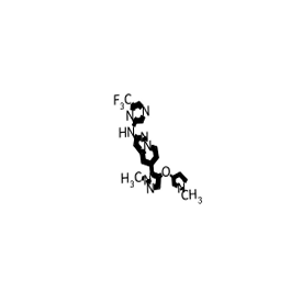 CN1CC[C@H](Oc2cnn(C)c2-c2ccn3nc(Nc4cncc(C(F)(F)F)n4)cc3c2)C1